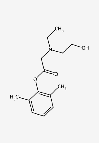 CCN(CCO)CC(=O)Oc1c(C)cccc1C